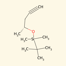 C#CC[C@@H](C)O[Si](C)(C)C(C)(C)C